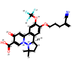 C=C(C#N)CCCOc1cc2c(cc1OC(F)(F)F)-c1cc(=O)c(C(=O)O)cn1N1[C@@H]2CCC1(C)C